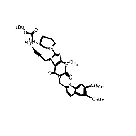 CC#CCn1c(N2CCC[C@@H](NC(=O)OC(C)(C)C)C2)nc2c1c(=O)n(Cc1ccc3cc(OC)c(OC)cc3n1)c(=O)n2C